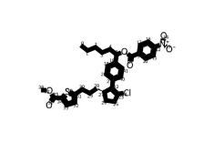 CCCCCC(OC(=O)c1ccc([N+](=O)[O-])cc1)c1ccc(C2=C(Cl)CC[C@@H]2CCCc2ccc(C(=O)OC)s2)cc1